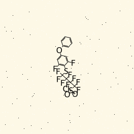 O=S(=O)(Cl)C(F)(F)C(F)(F)C(F)(F)C(F)(F)Sc1c(F)cc(Oc2ccccc2)cc1F